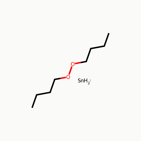 CCCCOOCCCC.[SnH2]